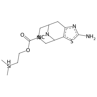 C[SiH](C)CCOC(=O)N1CC2Cc3nc(N)sc3C(C1)N2C#N